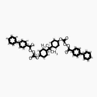 CC(C)(C1CCC(OC(=O)OOC(=O)c2ccc(-c3ccccc3)cc2)CC1)C1CCC(OC(=O)OOC(=O)c2ccc(-c3ccccc3)cc2)CC1